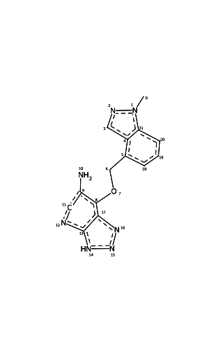 Cn1ncc2c(COc3c(N)cnc4[nH]nnc34)cccc21